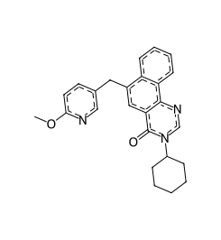 COc1ccc(Cc2cc3c(=O)n(C4CCCCC4)cnc3c3ccccc23)cn1